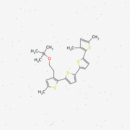 Cc1cc(C)c(-c2ccc(-c3ccc(-c4sc(C)cc4CCO[Si](C)(C)C)s3)s2)s1